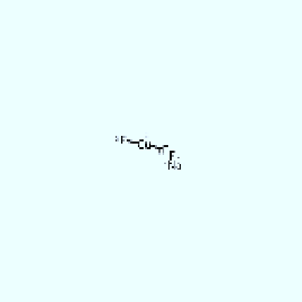 [F-].[F][Cu][F].[Na+]